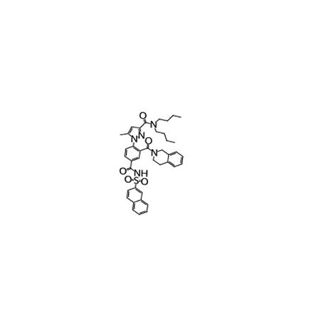 CCCCN(CCCC)C(=O)c1cc(C)n(-c2ccc(C(=O)NS(=O)(=O)c3ccc4ccccc4c3)cc2C(=O)N2CCc3ccccc3C2)n1